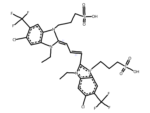 CCN1/C(=C\C=C\c2n(CC)c3cc(Cl)c(C(F)(F)F)cc3[n+]2CCCS(=O)(=O)O)N(CCCS(=O)(=O)O)c2cc(C(F)(F)F)c(Cl)cc21